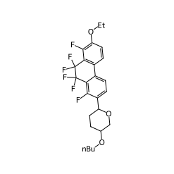 CCCCOC1CCC(c2ccc3c(c2F)C(F)(F)C(F)(F)c2c-3ccc(OCC)c2F)OC1